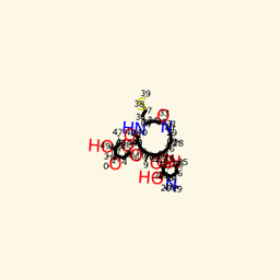 CO[C@]1(C)C[C@H](O[C@H]2[C@H](C)[C@@H](O[C@@H]3O[C@H](C)C[C@H](N(C)C)[C@H]3O)[C@](C)(O)C[C@@H](C)CN(C)C(=O)C[C@@H](CCSC)NC(=O)[C@@H]2C)O[C@@H](C)[C@@H]1O